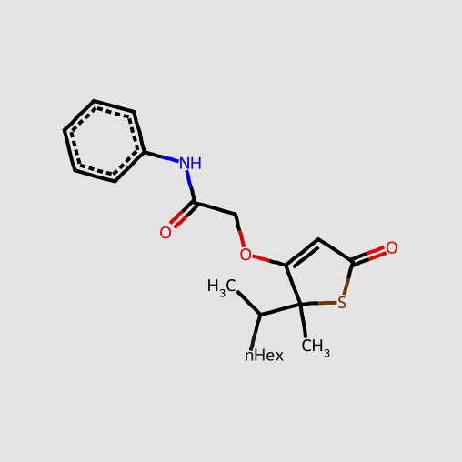 CCCCCCC(C)C1(C)SC(=O)C=C1OCC(=O)Nc1ccccc1